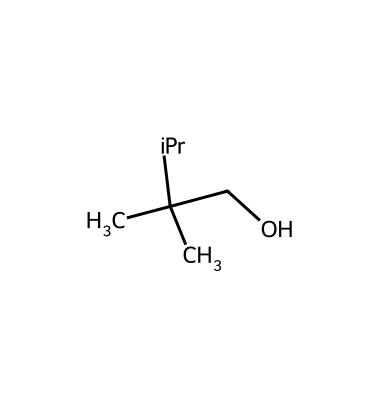 CC(C)C(C)(C)CO